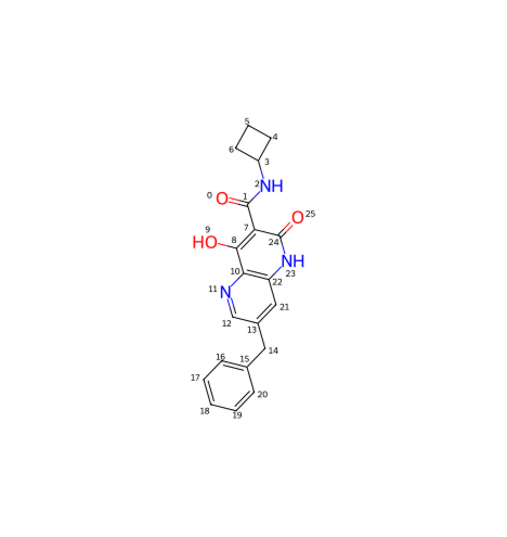 O=C(NC1CCC1)c1c(O)c2ncc(Cc3ccccc3)cc2[nH]c1=O